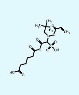 C=CC(=O)ON(CC(C)(C)C)C(C(=O)OC(=O)CCCCC(=O)O)S(=O)(=O)O